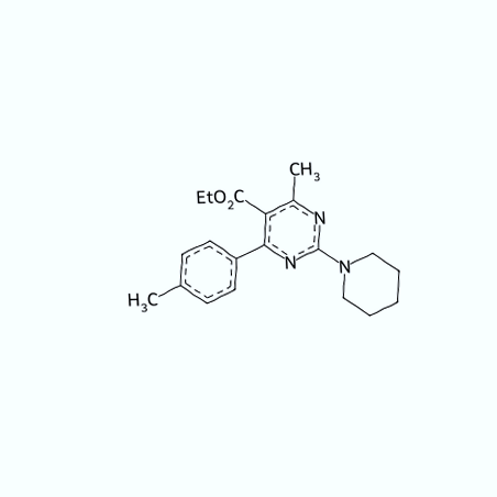 CCOC(=O)c1c(C)nc(N2CCCCC2)nc1-c1ccc(C)cc1